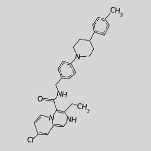 CCC1=C(C(=O)NCc2ccc(N3CCC(c4ccc(C)cc4)CC3)cc2)N2C=CC(Cl)=CC2=CN1